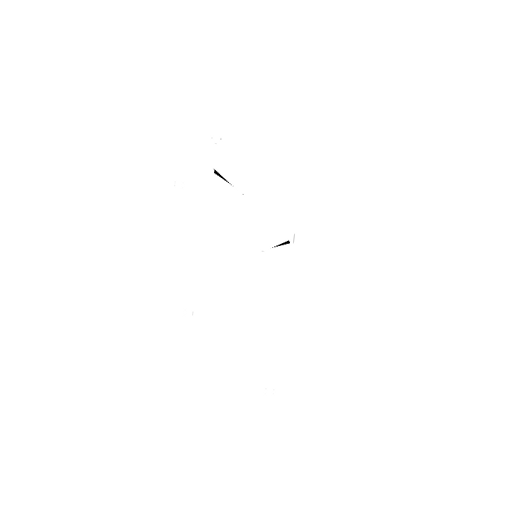 COC(=O)[C@@]12CCC(C(C)C)=C1[C@@H]1CC=C(C=O)CC(O)[C@@]1(C)CC2